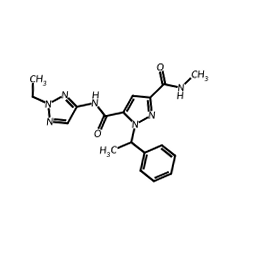 CCn1ncc(NC(=O)c2cc(C(=O)NC)nn2C(C)c2ccccc2)n1